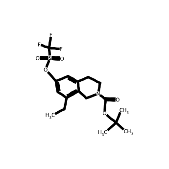 CCc1cc(OS(=O)(=O)C(F)(F)F)cc2c1CN(C(=O)OC(C)(C)C)CC2